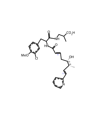 COc1ccc(CC(NC(=O)/C=C/C[C@H](O)[C@H](C)/C=C/c2ccccn2)C(=O)NCC(C)C(=O)O)cc1Cl